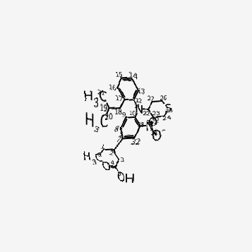 CCC(CC(=O)O)c1ccc(N(c2ccccc2CC(C)C)C2CCSCC2)c([N+](=O)[O-])c1